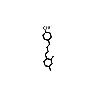 CC1CCC(CCCCC2CCC(C=O)CC2)C(C)C1